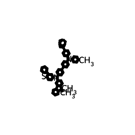 Cc1ccc(N(c2ccc(-c3ccc(N(c4ccc5c(c4)-c4ccccc4C5(C)C)c4ccc5sc6ccccc6c5c4)cc3)cc2)c2ccc(C34CC5CC(CC3C5)C4)cc2)cc1